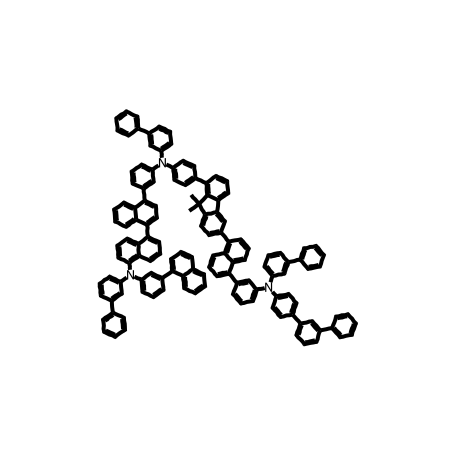 CC1(C)c2ccc(-c3cccc4c(-c5cccc(N(c6ccc(-c7cccc(-c8ccccc8)c7)cc6)c6cccc(-c7ccccc7)c6)c5)cccc34)cc2-c2cccc(-c3ccc(N(c4cccc(-c5ccccc5)c4)c4cccc(-c5ccc(-c6cccc7c(N(c8cccc(-c9ccccc9)c8)c8cccc(-c9cccc%10ccccc9%10)c8)cccc67)c6ccccc56)c4)cc3)c21